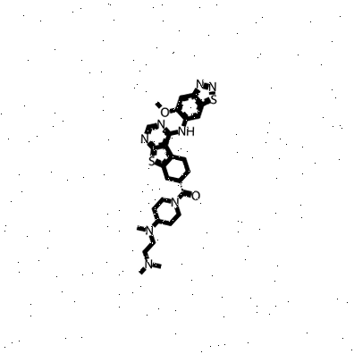 COc1cc2nnsc2cc1Nc1ncnc2sc3c(c12)CC[C@H](C(=O)N1CCC(N(C)CCN(C)C)CC1)C3